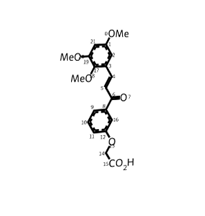 COc1cc(C=CC(=O)c2cccc(OCC(=O)O)c2)c(OC)c(OC)c1